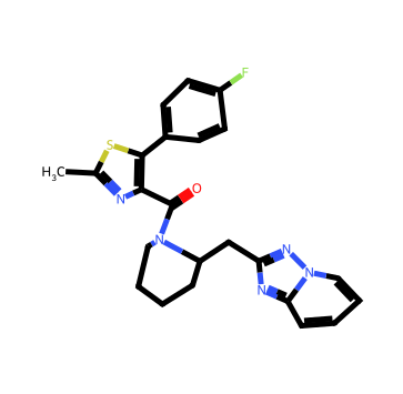 Cc1nc(C(=O)N2CCCCC2Cc2nc3ccccn3n2)c(-c2ccc(F)cc2)s1